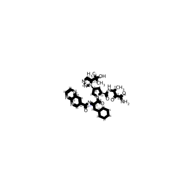 CC(NC(=O)[C@@H]1C[C@H](n2nncc2C(C)(C)O)CN1C(=O)/C(CC1CCCCC1)=N/C(=O)c1cnc2nccnc2c1)C(=O)C(N)=O